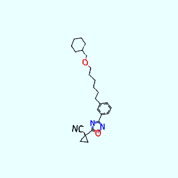 N#CC1(c2nc(-c3cccc(CCCCCCOCC4CCCCC4)c3)no2)CC1